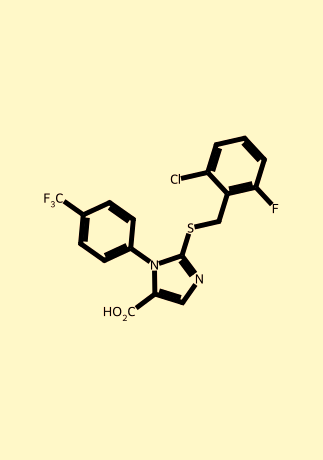 O=C(O)c1cnc(SCc2c(F)cccc2Cl)n1-c1ccc(C(F)(F)F)cc1